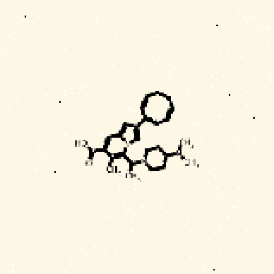 Cc1c(C(=O)O)cc2cc(C3=C/C=C\CC/C=C\3)cn2c1C(C)N1CCC(N(C)C)CC1